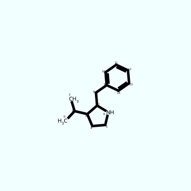 CC(C)C1CCNC1Cc1ccccc1